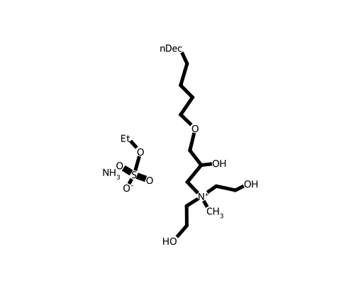 CCCCCCCCCCCCCCOCC(O)C[N+](C)(CCO)CCO.CCOS(=O)(=O)[O-].N